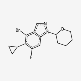 Fc1cc2c(cnn2C2CCCCO2)c(Br)c1C1CC1